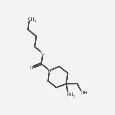 CCCCOC(=O)N1CCC(N)(CO)CC1